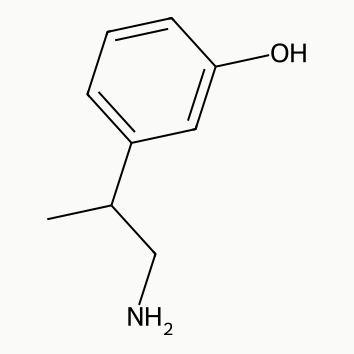 CC(CN)c1cccc(O)c1